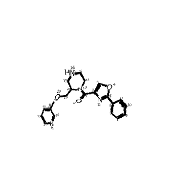 O=C(c1coc(-c2ccccc2)n1)N1CCNCC1COc1cccnc1